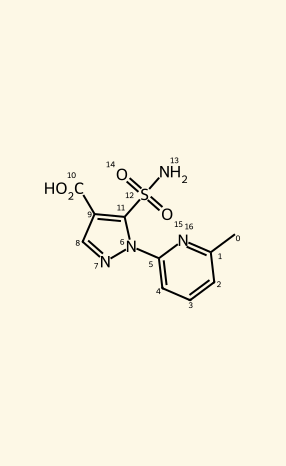 Cc1cccc(-n2ncc(C(=O)O)c2S(N)(=O)=O)n1